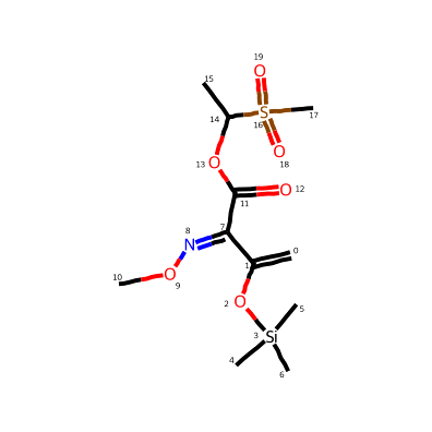 C=C(O[Si](C)(C)C)/C(=N\OC)C(=O)OC(C)S(C)(=O)=O